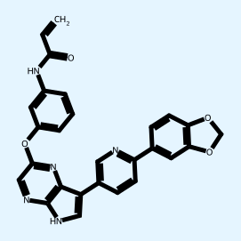 C=CC(=O)Nc1cccc(Oc2cnc3[nH]cc(-c4ccc(-c5ccc6c(c5)OCO6)nc4)c3n2)c1